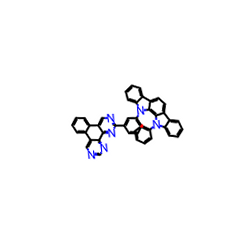 c1ccc(-n2c3ccccc3c3ccc4c5ccccc5n(-c5cccc(-c6ncc7c8ccccc8c8cncnc8c7n6)c5)c4c32)cc1